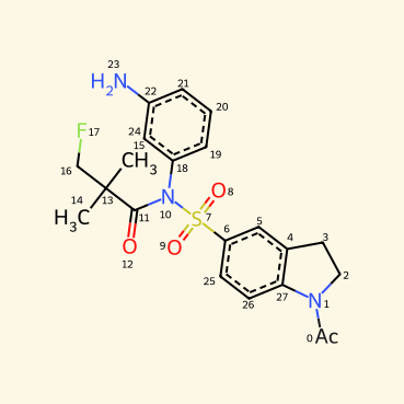 CC(=O)N1CCc2cc(S(=O)(=O)N(C(=O)C(C)(C)CF)c3cccc(N)c3)ccc21